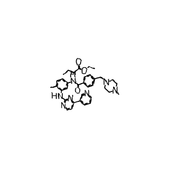 CCCC(=O)OCC.Cc1ccc(NC(=O)c2ccc(CN3CCN(C)CC3)cc2)cc1Nc1nccc(-c2cccnc2)n1